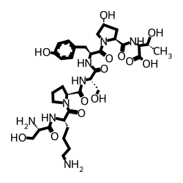 C[C@@H](O)[C@H](NC(=O)[C@@H]1C[C@@H](O)CN1C(=O)[C@H](Cc1ccc(O)cc1)NC(=O)[C@H](CO)NC(=O)[C@@H]1CCCN1C(=O)[C@H](CCCCN)NC(=O)[C@@H](N)CO)C(=O)O